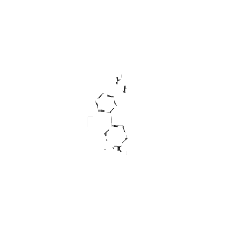 Cn1cc(-c2cc([N+](=O)[O-])ccc2F)ccc1=O